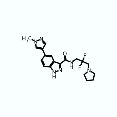 Cn1cc(-c2ccc3[nH]nc(C(=O)NCC(F)(F)CN4CCCC4)c3c2)cn1